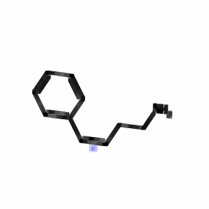 NCC/C=C\c1ccccc1